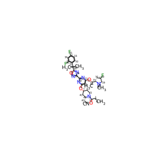 C=CC(=O)N1CC[C@H](Oc2cc(O[C@@H](C)[C@@H]3C[C@@H](F)CN3C)nc(-c3noc(C(C)(C)c4ccc(F)cc4F)n3)n2)C[C@H]1CC#N